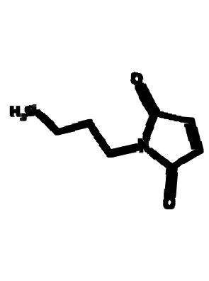 O=C1C=CC(=O)N1CCC[SiH3]